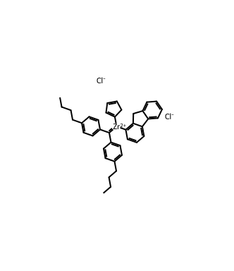 CCCCc1ccc([C](c2ccc(CCCC)cc2)=[Zr+2]([C]2=CC=CC2)[c]2cccc3c2Cc2ccccc2-3)cc1.[Cl-].[Cl-]